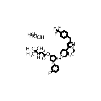 CCn1nc(Cc2ccc(C(F)(F)F)cc2)cc1C1CCN(C[C@H]2C[C@H](OC(=O)CNC(C)(C)C)C[C@@H]2c2cccc(F)c2)CC1.Cl.Cl.Cl